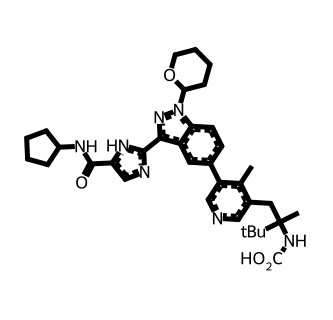 Cc1c(CC(C)(NC(=O)O)C(C)(C)C)cncc1-c1ccc2c(c1)c(-c1ncc(C(=O)NC3CCCC3)[nH]1)nn2C1CCCCO1